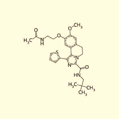 COc1cc2c(cc1OCCNC(C)=O)-c1c(-c3cccs3)nc(C(=O)NCC(C)(C)C)n1CC2